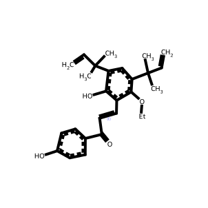 C=CC(C)(C)c1cc(C(C)(C)C=C)c(OCC)c(/C=C/C(=O)c2ccc(O)cc2)c1O